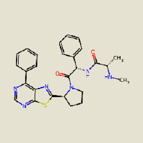 CN[C@@H](C)C(=O)N[C@H](C(=O)N1CCC[C@H]1c1nc2c(-c3ccccc3)ncnc2s1)c1ccccc1